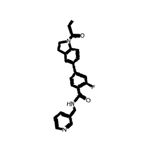 CCC(=O)N1CCc2cc(-c3ccc(C(=O)NCc4cccnc4)c(F)c3)ccc21